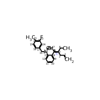 C=CC/C(CC)=C(/Br)c1ccccc1N(C)Cc1ccc(C)c(F)c1